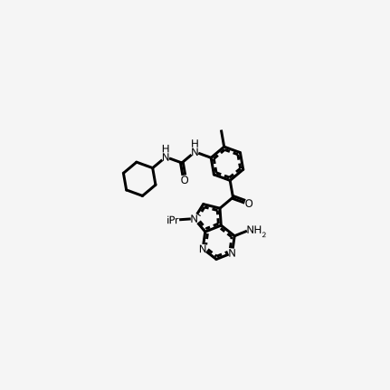 Cc1ccc(C(=O)c2cn(C(C)C)c3ncnc(N)c23)cc1NC(=O)NC1CCCCC1